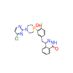 O=c1[nH]nc(Cc2ccc(F)c([P]3(O)CCN(c4nccc(Cl)n4)CC3)c2)c2ccccc12